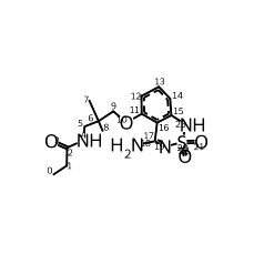 CCC(=O)NCC(C)(C)COc1cccc2c1C(N)=NS(=O)(=O)N2